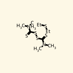 CCSCC.CN(C)C(=S)SSC(=S)N(C)C